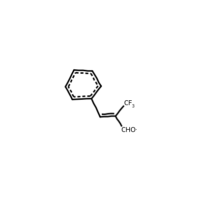 O=[C]/C(=C/c1ccccc1)C(F)(F)F